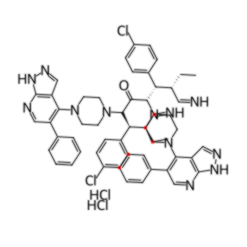 CC[C@H](C=N)[C@@H](c1ccc(Cl)cc1)C(C(=O)C([C@H](c1ccc(Cl)cc1)[C@@H](C=N)CC)N1CCN(c2c(-c3ccccc3)cnc3[nH]ncc23)CC1)N1CCN(c2c(-c3ccccc3)cnc3[nH]ncc23)CC1.Cl.Cl